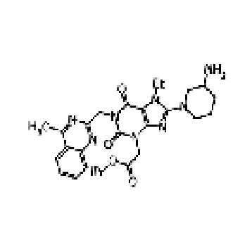 CCn1c(N2CCCC(N)C2)nc2c1c(=O)n(Cc1nc(C)c3ccccc3n1)c(=O)n2CC(=O)OC(C)C